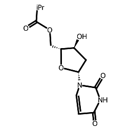 CC(C)C(=O)OC[C@H]1O[C@@H](n2ccc(=O)[nH]c2=O)C[C@@H]1O